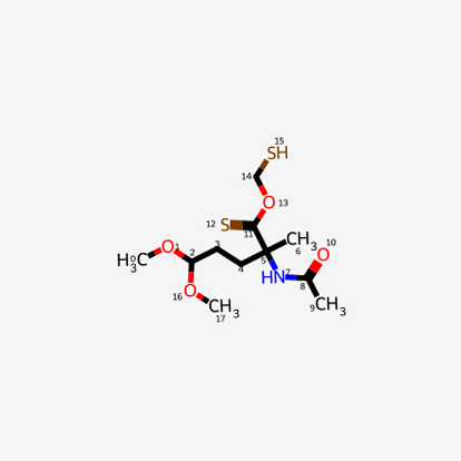 COC(CCC(C)(NC(C)=O)C(=S)OCS)OC